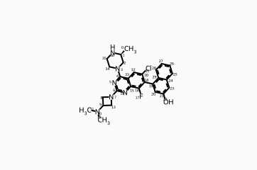 C[C@H]1CN(c2nc(N3CC(N(C)C)C3)nc3c(F)c(-c4cc(O)cc5ccccc45)c(Cl)cc23)CCN1